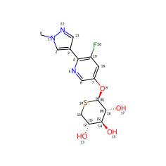 Cn1cc(-c2ncc(O[C@@H]3SC[C@@H](O)[C@H](O)[C@H]3O)cc2F)cn1